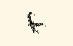 CCC(COC(=O)COCCOC(=O)c1ccc(N)cc1)(COC(=O)COCCOC(=O)c1ccc(N)cc1)COC(=O)COCCOC(=O)c1ccc(N)cc1